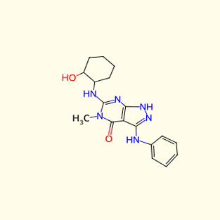 Cn1c(NC2CCCCC2O)nc2[nH]nc(Nc3ccccc3)c2c1=O